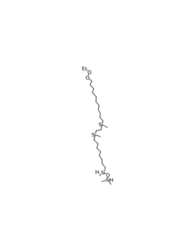 CCOOCCCCCCCCCCC[Si](C)(C)CC[Si](C)(C)CCCCCCCC[SiH2]O[SiH](C)C